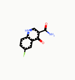 NC(=O)c1c[nH]c2ccc(F)cc2c1=O